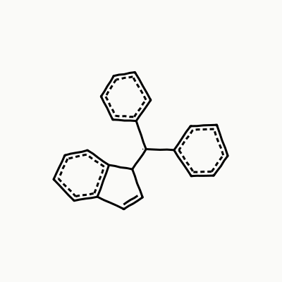 C1=CC([C](c2ccccc2)c2ccccc2)c2ccccc21